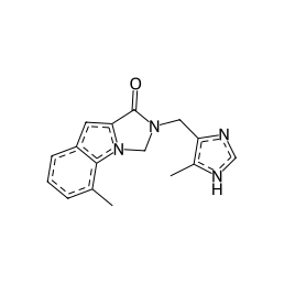 Cc1[nH]cnc1CN1Cn2c(cc3cccc(C)c32)C1=O